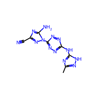 Cc1n[nH]c(Nc2nnc(-n3nc(C#N)nc3N)nn2)n1